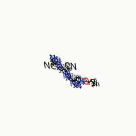 C[Si](C)(C)CCOCn1ccc2c(-c3cnn([C@@H](CC#N)C4CCN(c5ncncc5C#N)C4)c3)ncnc21